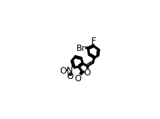 O=C1O/C(=C/c2ccc(F)c(Br)c2)c2cccc([N+](=O)[O-])c21